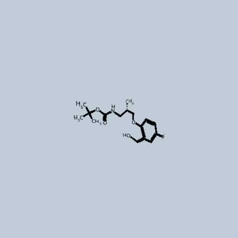 C[C@@H](CNC(=O)OC(C)(C)C)COc1ccc(F)cc1CO